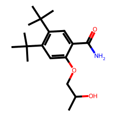 CC(O)COc1cc(C(C)(C)C)c(C(C)(C)C)cc1C(N)=O